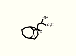 [CH2]CCCC(CC(=O)[C]1OC2CCCCC1COCC2)C(=O)OCC